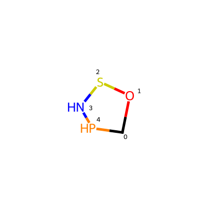 C1OSNP1